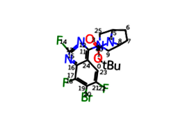 CC(C)(C)OC(=O)N1C2CCC1CN(c1nc(F)nc3c(F)c(Br)c(F)cc13)C2